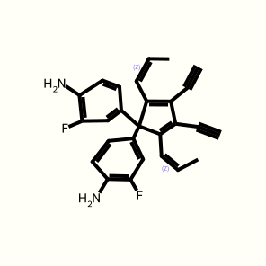 C#CC1=C(/C=C\C)C(c2ccc(N)c(F)c2)(c2ccc(N)c(F)c2)C(/C=C\C)=C1C#C